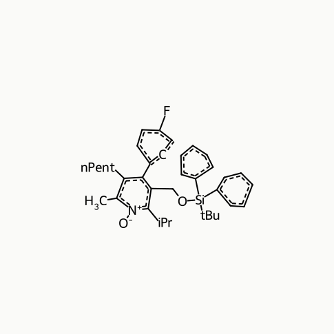 CCCCCc1c(-c2ccc(F)cc2)c(CO[Si](c2ccccc2)(c2ccccc2)C(C)(C)C)c(C(C)C)[n+]([O-])c1C